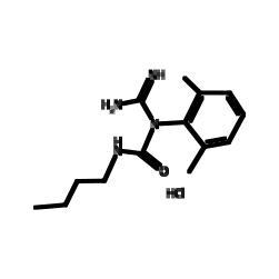 CCCCNC(=O)N(C(=N)N)c1c(C)cccc1C.Cl